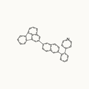 c1ccc(-c2ccc3cc(-c4cc5c6c(cccc6c4)-c4ccccc4-5)ccc3c2)c(-c2ccncc2)c1